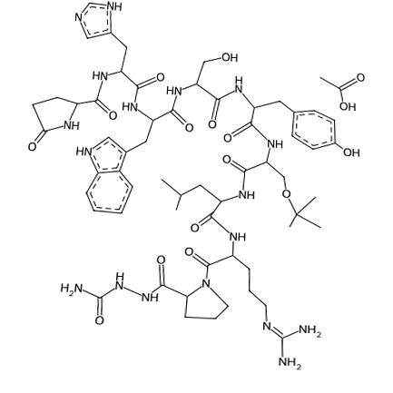 CC(=O)O.CC(C)CC(NC(=O)C(COC(C)(C)C)NC(=O)C(Cc1ccc(O)cc1)NC(=O)C(CO)NC(=O)C(Cc1c[nH]c2ccccc12)NC(=O)C(Cc1cnc[nH]1)NC(=O)C1CCC(=O)N1)C(=O)NC(CCCN=C(N)N)C(=O)N1CCCC1C(=O)NNC(N)=O